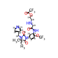 CC1(C)C(=O)N(c2ccc(OC(F)(F)F)c(NC(=O)CNCCOC(=O)C(F)(F)F)c2)C(=O)N1Cc1ccncc1